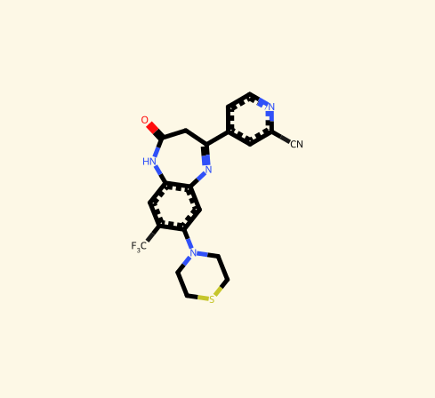 N#Cc1cc(C2=Nc3cc(N4CCSCC4)c(C(F)(F)F)cc3NC(=O)C2)ccn1